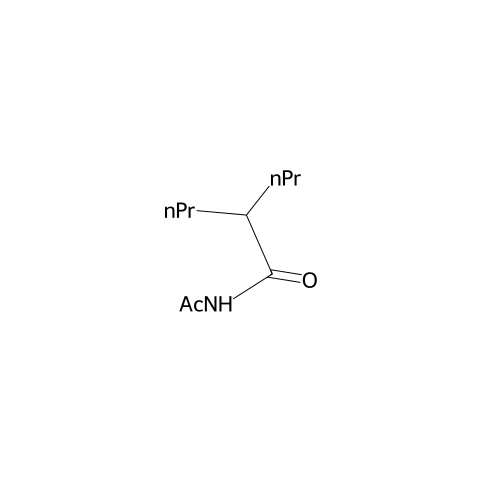 CCCC(CCC)C(=O)NC(C)=O